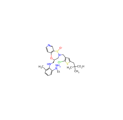 CCN(N)c1cccc(C)c1NC[C@@H]1CN(Cc2cc(CC(C)(C)C(=O)O)sc2Cl)[S+]([O-])c2cnccc2O1